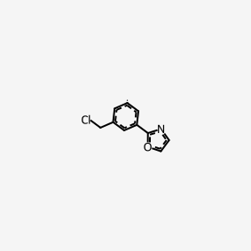 ClCc1c[c]cc(-c2ncco2)c1